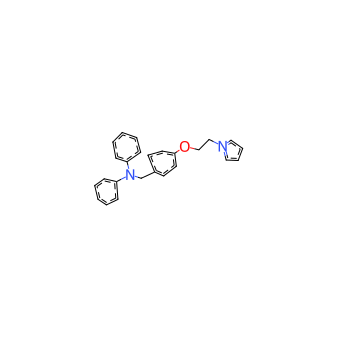 c1ccc(N(Cc2ccc(OCCn3cccc3)cc2)c2ccccc2)cc1